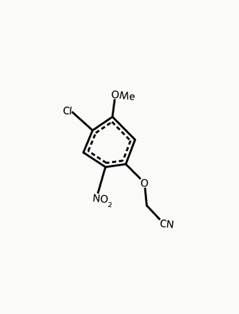 COc1cc(OCC#N)c([N+](=O)[O-])cc1Cl